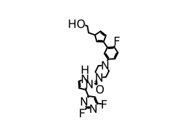 O=C(N1CCN(c2ccc(F)c(C3=CC(CCO)C=C3)c2)CC1)[n+]1[nH]ccc1-c1cc(F)nc(F)n1